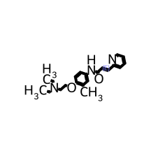 CCN(CC)CCOc1ccc(NC(=O)/C=C/c2ccccn2)cc1C